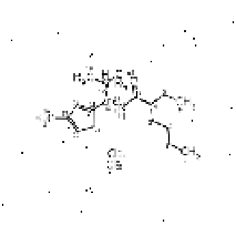 CCCCC(CC)C(=O)[NH][Zr+2]([C]1=CC(C)=CC1)[SiH](C)C.[Cl-].[Cl-]